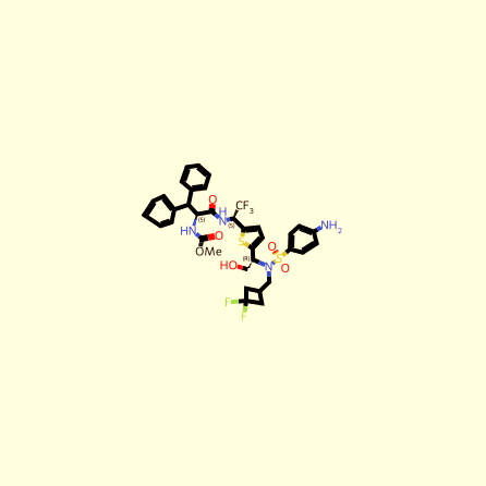 COC(=O)N[C@H](C(=O)N[C@H](c1ccc([C@@H](CO)N(CC2CC(F)(F)C2)S(=O)(=O)c2ccc(N)cc2)s1)C(F)(F)F)C(c1ccccc1)c1ccccc1